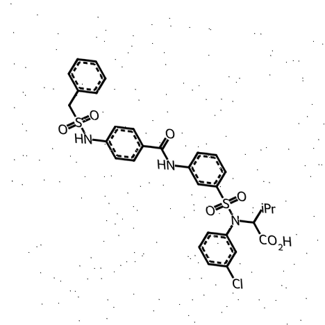 CC(C)C(C(=O)O)N(c1cccc(Cl)c1)S(=O)(=O)c1cccc(NC(=O)c2ccc(NS(=O)(=O)Cc3ccccc3)cc2)c1